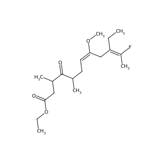 CCOC(=O)CC(C)C(=O)C(C)C/C=C(\C/C(CC)=C(\C)F)OC